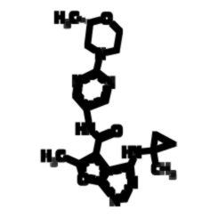 Cc1oc2ncnc(NC3(C)CC3)c2c1C(=O)Nc1cnc(N2CCO[C@@H](C)C2)nc1